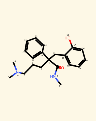 CNC(=O)C(CCCN(C)C)(Cc1ccccc1O)c1ccccc1